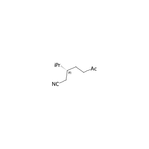 CC(=O)CC[C@H](CC#N)C(C)C